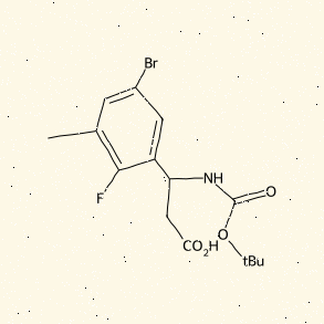 Cc1cc(Br)cc(C(CC(=O)O)NC(=O)OC(C)(C)C)c1F